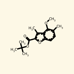 COc1c(C)ccc2oc(C(=O)OC(C)(C)C)c(C)c12